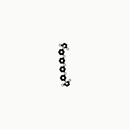 O=C1C=CC(=O)N1c1cccc(Oc2cccc(Oc3cccc(Oc4cccc(N5C(=O)C=CC5=O)c4)c3)c2)c1